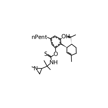 C=C(C)[C@@H]1CCC(C)=C[C@H]1c1c(O)cc(CCCCC)cc1OC(=S)NC(C)(C)C1CN1C